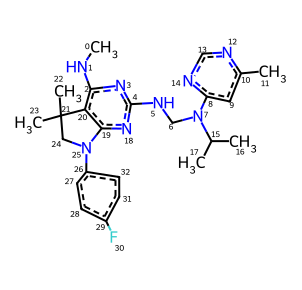 CNc1nc(NCN(c2cc(C)ncn2)C(C)C)nc2c1C(C)(C)CN2c1ccc(F)cc1